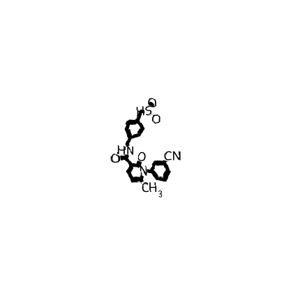 Cc1ccc(C(=O)NCc2ccc(C[SH](=O)=O)cc2)c(=O)n1-c1cccc(C#N)c1